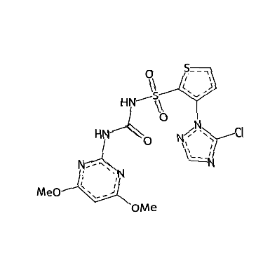 COc1cc(OC)nc(NC(=O)NS(=O)(=O)c2sccc2-n2ncnc2Cl)n1